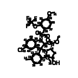 COC(=O)[C@@H]1C[C@@H](O)CN1C1(c2cc(C)ccc2OC)C(=O)N(S(=O)(=O)c2ccc(OC)cc2OC(F)(F)F)c2ccc(Cl)cc21